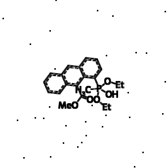 CCOP(C)(O)(OCC)c1cccc2cc3ccccc3c(C(=O)OC)c12